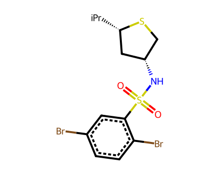 CC(C)[C@H]1C[C@@H](NS(=O)(=O)c2cc(Br)ccc2Br)CS1